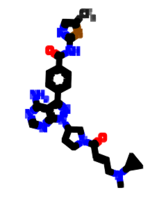 CN(C/C=C/C(=O)N1CCC(n2nc(-c3ccc(C(=O)Nc4ncc(C(F)(F)F)s4)cc3)c3c(N)ncnc32)C1)C1CC1